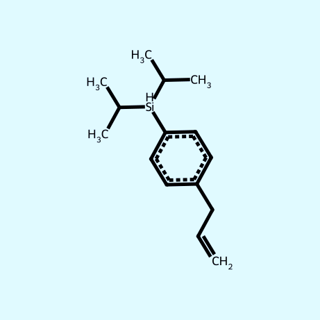 C=CCc1ccc([SiH](C(C)C)C(C)C)cc1